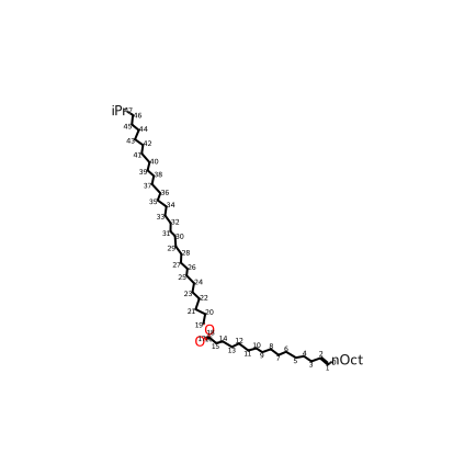 CCCCCCCCC=CCCCCCCCCCCCCCC(=O)OCCCCCCCCCCCCCCCCCCCCCCCCCCCCC(C)C